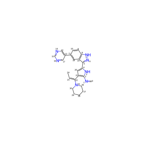 C=Nc1[nH]c(-c2n[nH]c3ccc(-c4cncnc4)cc23)cc1/C(=C\C)N1CCCCC1